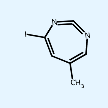 CC1=CN=C=NC(I)=C1